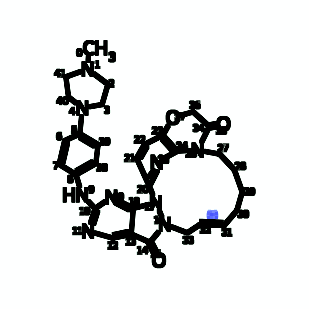 CN1CCN(c2ccc(Nc3ncc4c(=O)n5n(c4n3)-c3ccc4c(n3)N(CCCC/C=C/C5)C(=O)CO4)cc2)CC1